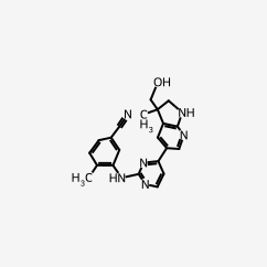 Cc1ccc(C#N)cc1Nc1nccc(-c2cnc3c(c2)C(C)(CO)CN3)n1